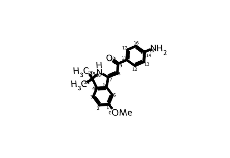 COc1ccc2c(c1)/C(=C/C(=O)c1ccc(N)cc1)NC2(C)C